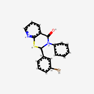 O=C1c2cccnc2SC(c2cccc(Br)c2)N1c1ccccc1